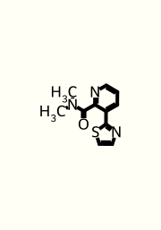 CN(C)C(=O)c1ncccc1-c1nccs1